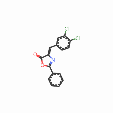 O=C1OC(c2ccccc2)=NC1=Cc1ccc(Cl)c(Cl)c1